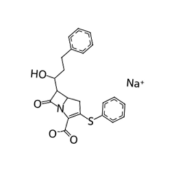 O=C([O-])C1=C(Sc2ccccc2)CC2C(C(O)CCc3ccccc3)C(=O)N12.[Na+]